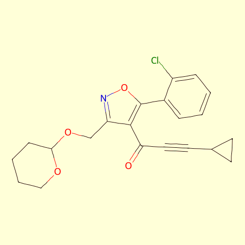 O=C(C#CC1CC1)c1c(COC2CCCCO2)noc1-c1ccccc1Cl